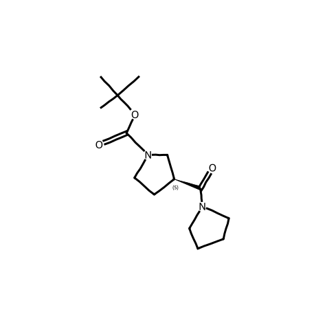 CC(C)(C)OC(=O)N1CC[C@H](C(=O)N2CCCC2)C1